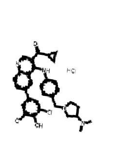 CN(C)C1CCN(Cc2ccc(Nc3c(C(=O)C4CC4)cnc4ccc(-c5cc(Cl)c(O)c(Cl)c5)cc34)cc2)C1.Cl